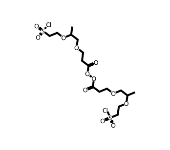 CC(COCCC(=O)OOC(=O)CCOCC(C)OCCS(=O)(=O)Cl)OCCS(=O)(=O)Cl